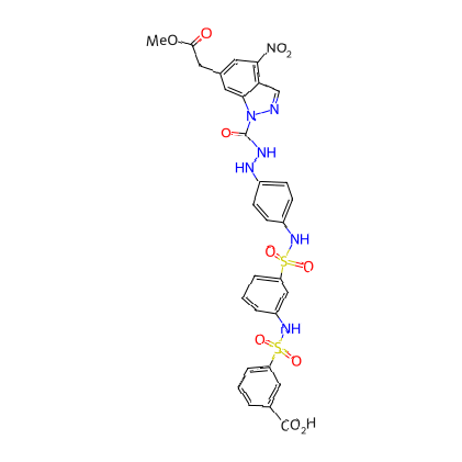 COC(=O)Cc1cc([N+](=O)[O-])c2cnn(C(=O)NNc3ccc(NS(=O)(=O)c4cccc(NS(=O)(=O)c5cccc(C(=O)O)c5)c4)cc3)c2c1